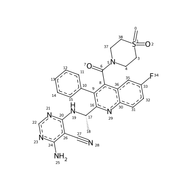 C=S1(=O)CCN(C(=O)c2c(-c3ccccc3)c([C@H](C)Nc3ncnc(N)c3C#N)nc3ccc(F)cc23)CC1